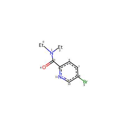 CCN(CC)C(=O)c1ccc(Br)cn1